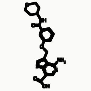 Nc1ncc(C(=O)O)c2scc(COc3cccc(C(=O)NC4CCOCC4)c3)c12